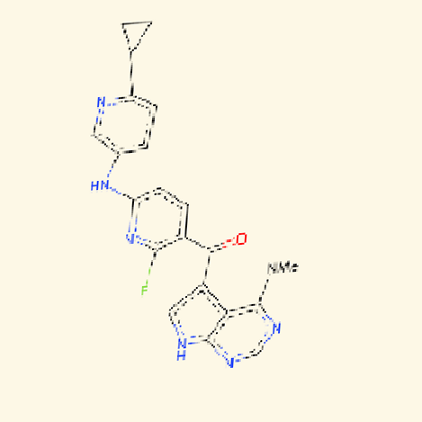 CNc1ncnc2[nH]cc(C(=O)c3ccc(Nc4ccc(C5CC5)nc4)nc3F)c12